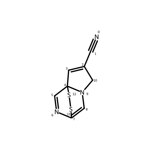 N#CC1=CC23C=NC(=CN2C1)SS3